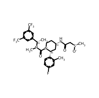 Cc1cc(F)ccc1[C@H]1C[C@@H](NC(=O)C[S+](C)[O-])CCN1C(=O)N(C)[C@@H](C)c1cc(C(F)(F)F)cc(C(F)(F)F)c1